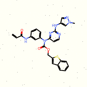 C=CC(=O)Nc1cccc(N(C(=O)OCc2cc3ccccc3s2)c2ccnc(Nc3cnn(C)c3)n2)c1